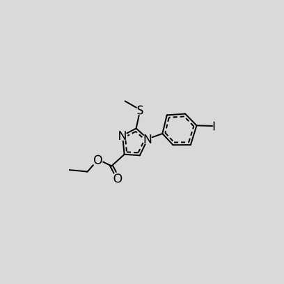 CCOC(=O)c1cn(-c2ccc(I)cc2)c(SC)n1